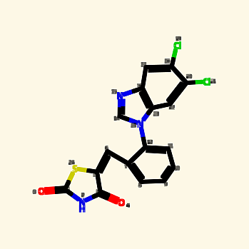 O=C1NC(=O)C(=Cc2ccccc2-n2cnc3cc(Cl)c(Cl)cc32)S1